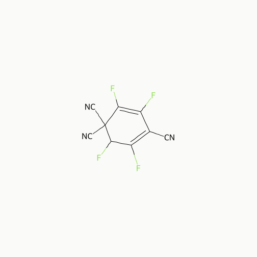 N#CC1=C(F)C(F)C(C#N)(C#N)C(F)=C1F